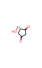 CCO.O=C1CCC(=O)C1